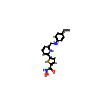 COc1ccc(NCc2cccc(-c3ccc(C(=O)NO)s3)n2)cc1